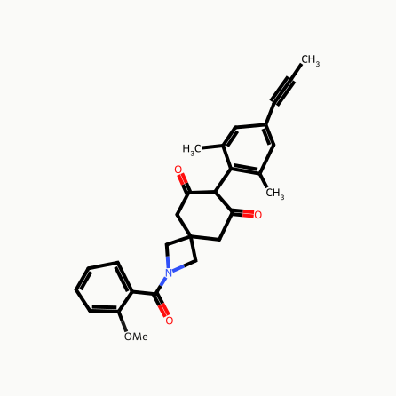 CC#Cc1cc(C)c(C2C(=O)CC3(CC2=O)CN(C(=O)c2ccccc2OC)C3)c(C)c1